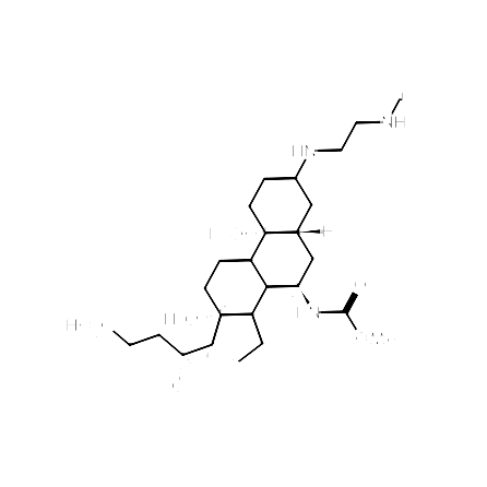 COC(=O)N[C@@H]1C[C@H]2CC(NCCNC(C)C)CC[C@]2(C)C2CC[C@@]3(C)C(CC[C@@H]3[C@H](C)CCC(=O)O)C21